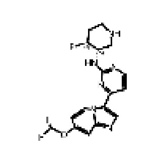 FC(F)Oc1ccn2c(-c3ccnc(N[C@H]4CNCC[C@@H]4F)n3)cnc2c1